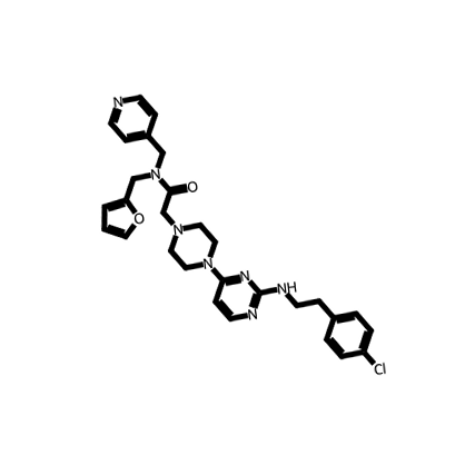 O=C(CN1CCN(c2ccnc(NCCc3ccc(Cl)cc3)n2)CC1)N(Cc1ccncc1)Cc1ccco1